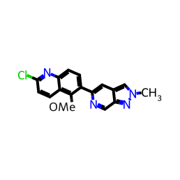 COc1c(-c2cc3cn(C)nc3cn2)ccc2nc(Cl)ccc12